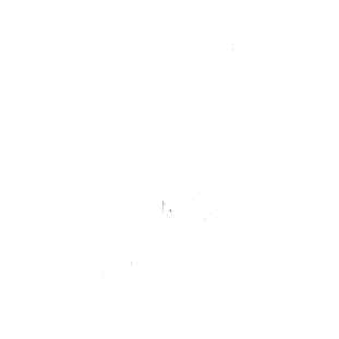 COC(=O)CCc1ccc(C(=O)N(CCO[Si](C)(C)C(C)(C)C)c2ccccc2)cc1